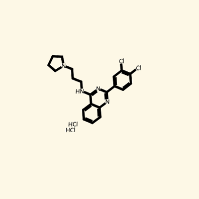 Cl.Cl.Clc1ccc(-c2nc(NCCCN3CCCC3)c3ccccc3n2)cc1Cl